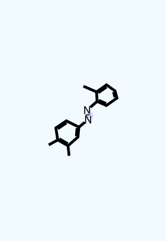 Cc1ccc(/N=N/c2ccccc2C)cc1C